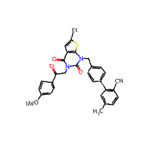 CCc1cc2c(=O)n(CC(=O)c3ccc(OC)cc3)c(=O)n(Cc3ccc(-c4cc(C)ccc4C#N)cc3)c2s1